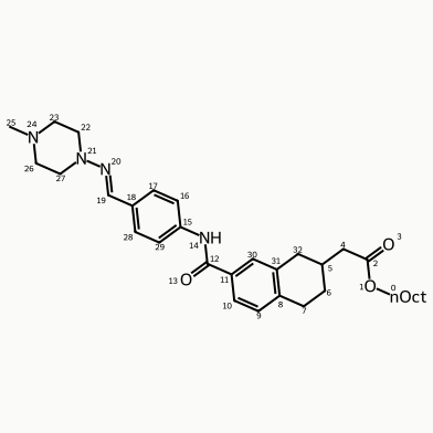 CCCCCCCCOC(=O)CC1CCc2ccc(C(=O)Nc3ccc(C=NN4CCN(C)CC4)cc3)cc2C1